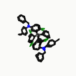 Cc1ccc(N(Cc2ccccc2)c2ccc(F)[c]([Ti]([c]3c(F)ccc(N(Cc4ccccc4)c4ccc(C)cc4)c3F)([CH]3C=CC=C3)[CH]3C=CC=C3)c2F)cc1